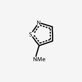 CNc1ccns1